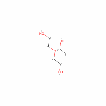 CCO.OCCOCCO